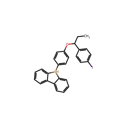 CCC(Oc1ccc([SH]2c3ccccc3-c3ccccc32)cc1)c1ccc(I)cc1